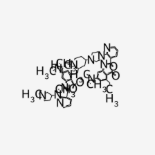 CCc1cc(N(C)C)cc2nc(-c3cccnc3N3CCN(C4CCN(C)C(Cc5cc(N(C)C)cc6nc(-c7cccnc7N(C)C7CCN(C)C7)oc(=O)c56)C4)CC3)oc(=O)c12